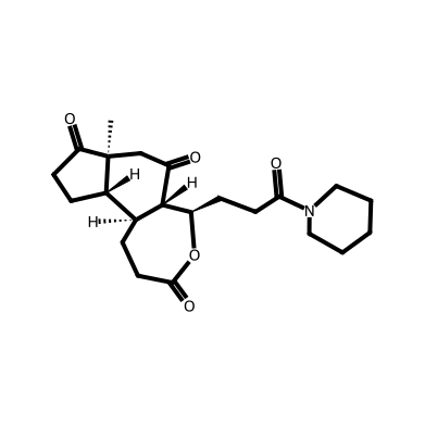 C[C@]12CC(=O)[C@H]3[C@@H](CCC(=O)O[C@@H]3CCC(=O)N3CCCCC3)[C@@H]1CCC2=O